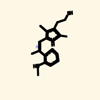 CNc1ccccc1/C(C)=C\c1[nH]c(C)c(CCS)c1C